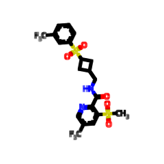 CS(=O)(=O)c1cc(C(F)(F)F)cnc1C(=O)NCC1CC(S(=O)(=O)c2cccc(C(F)(F)F)c2)C1